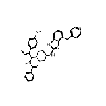 CCC(c1ccc(OC)cc1)C(N1CCC(Nc2nc3c(Cc4ccncc4)cccc3[nH]2)CC1)N(C)C(=O)c1ccccc1